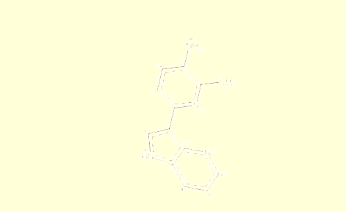 Cc1nc(-c2c[nH]c3cccnc23)ccc1N